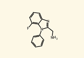 NCc1nc2cccc(F)c2n1-c1ccccc1